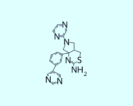 NC1=NC2(c3cccc(-c4cncnc4)c3)CN(c3cnccn3)CC2CS1